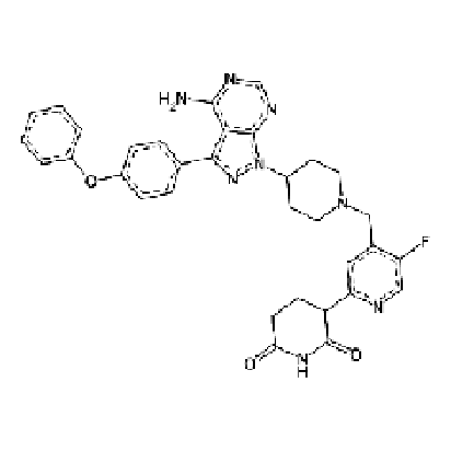 Nc1ncnc2c1c(-c1ccc(Oc3ccccc3)cc1)nn2C1CCN(Cc2cc(C3CCC(=O)NC3=O)ncc2F)CC1